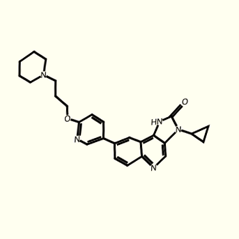 O=c1[nH]c2c3cc(-c4ccc(OCCCN5CCCCC5)nc4)ccc3ncc2n1C1CC1